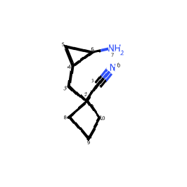 N#CC1(CC2CC2N)CCC1